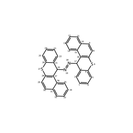 c1ccc2c(c1)Sc1ccc3ccccc3c1C2N=NC1c2ccccc2Sc2ccc3ccccc3c21